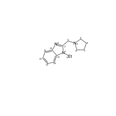 CCn1c(CN2CCCC2)nc2ccccc21